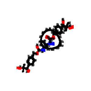 CC(C)(O)C(=O)c1ccc(COC(=O)NC2CC3CCCCCCCCCCCC2C(NC(=O)OCc2ccc(C(=O)C(C)(C)O)cc2)C3)cc1